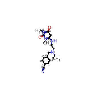 CCN(CCNc1cc(=O)n(C)c(=O)n1C)Cc1ccc(C#N)cc1